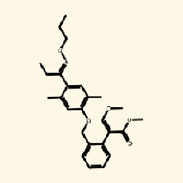 CCCO/N=C(\CC)c1cc(C)c(OCc2ccccc2/C(=C/OC)C(=O)OC)cc1C